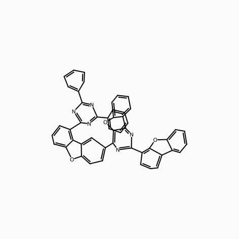 c1ccc(-c2nc(-c3ccccc3)nc(-c3cccc4oc5ccc(-c6nc(-c7cccc8c7oc7ccccc78)nc7c6oc6ccccc67)cc5c34)n2)cc1